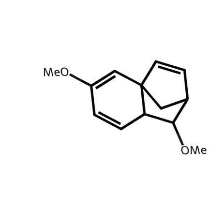 COC1=CC23C=CC(C2)C(OC)C3C=C1